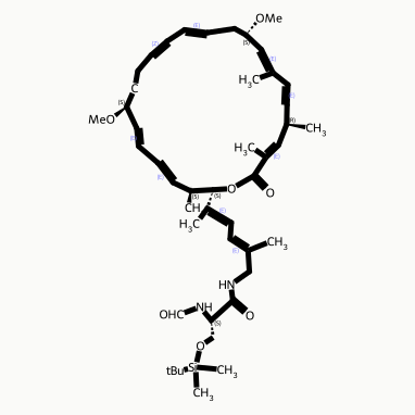 CO[C@@H]1/C=C(C)/C=C/[C@@H](C)/C=C(\C)C(=O)O[C@H](/C(C)=C/C=C(\C)CNC(=O)[C@H](CO[Si](C)(C)C(C)(C)C)NC=O)[C@@H](C)/C=C/C=C/[C@@H](OC)CC/C=C\C=C\C1